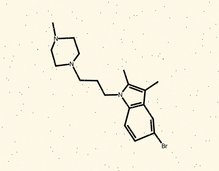 Cc1c(C)n(CCCN2CCN(C)CC2)c2ccc(Br)cc12